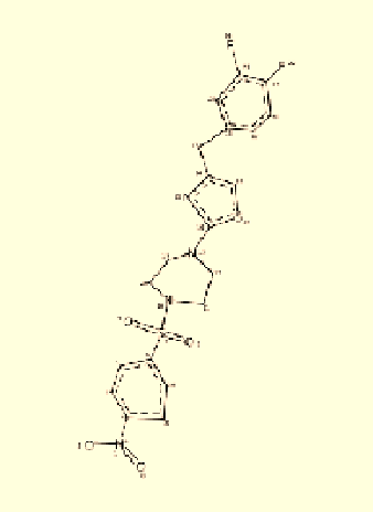 O=[N+]([O-])c1ccc(S(=O)(=O)N2CCN(c3nc(Cc4ccc(F)c(F)c4)cs3)CC2)cc1